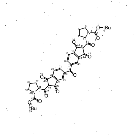 CC(C)(C)OC(=O)N1CCC[C@H]1C(=O)C1C(=O)c2ccc(C(=O)c3ccc4c(c3)C(=O)C(C(=O)[C@@H]3CCCN3C(=O)OC(C)(C)C)C4=O)cc2C1=O